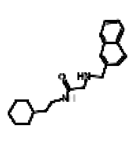 O=C(CNCc1ccc2ccccc2c1)NCCC1CCCCC1